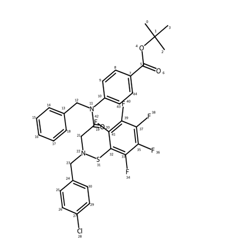 CC(C)(C)OC(=O)c1ccc(N(Cc2ccccc2)C(=O)CN(Cc2ccc(Cl)cc2)Sc2c(F)c(F)c(F)c(F)c2F)cc1